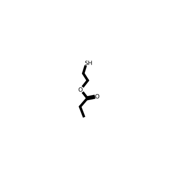 CCC(=O)OCCS